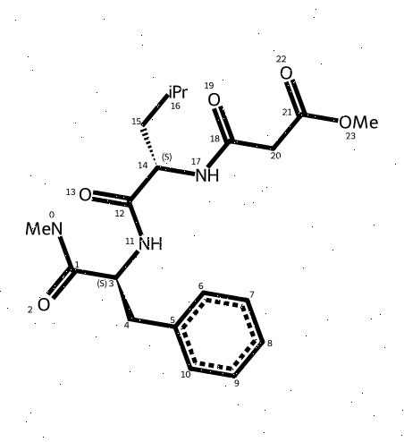 CNC(=O)[C@H](Cc1ccccc1)NC(=O)[C@H](CC(C)C)NC(=O)CC(=O)OC